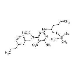 C=CCCC(CO[Si](C)(C)C(C)(C)C)Nc1nc(N)c([N+](=O)[O-])c(N(Cc2cccc(CC=C)c2)C(=O)OCC)n1